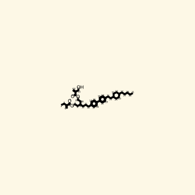 C=C(CC)C(=O)OCCC(CCCc1ccc(-c2ccc(CCC3CCC(CCCCC)CC3)cc2)cc1)CCOC(=O)C(=C)CO